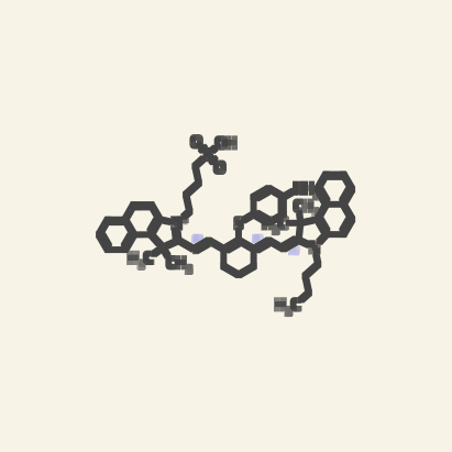 CCCCN1/C(=C/C=C2\CCCC(/C=C/C3=[N+](CCCCS(=O)(=O)O)c4ccc5ccccc5c4C3(C)C)=C2Sc2ccc(N)cc2)C(C)(C)c2c1ccc1ccccc21